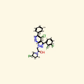 OC(Cn1nc(-c2cccc(F)c2F)c2c(Cl)c(-c3ccccc3)nnc21)N1CC[C@@H](F)C1